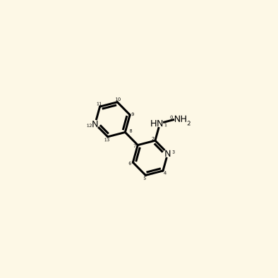 NNc1ncccc1-c1cccnc1